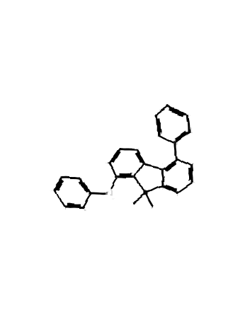 CC1(C)c2cccc(-c3ccccc3)c2-c2cccc(Nc3ccccc3)c21